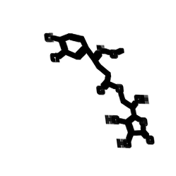 CON=C(CCC(=O)OCC(O)C1OC(=O)C(O)=C1O)c1ccc(Cl)c(Cl)c1